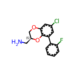 NC[C@H]1COc2cc(Cl)cc(-c3ccccc3F)c2O1